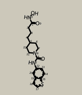 O=C(CCCC1CCN(C(=O)Nc2ccc3sccc3c2)CC1)NO